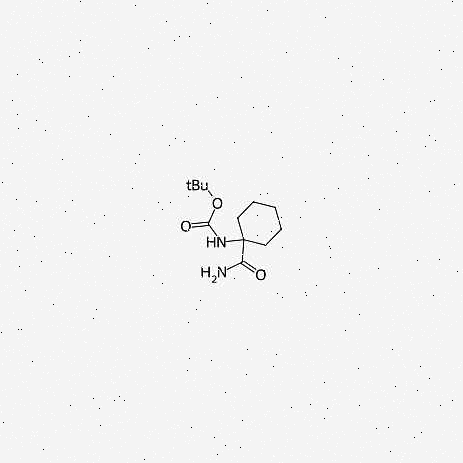 CC(C)(C)OC(=O)NC1(C(N)=O)CCCCC1